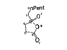 CCCCCCP1(=O)CCC(=O)O1